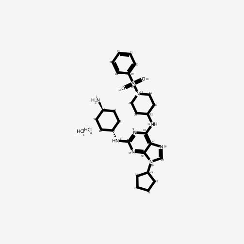 Cl.Cl.N[C@H]1CC[C@H](Nc2nc(NC3CCN(S(=O)(=O)c4ccccc4)CC3)c3ncn(C4CCCC4)c3n2)CC1